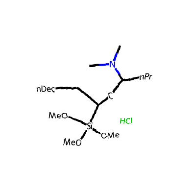 CCCCCCCCCCCC(CC(CCC)N(C)C)[Si](OC)(OC)OC.Cl